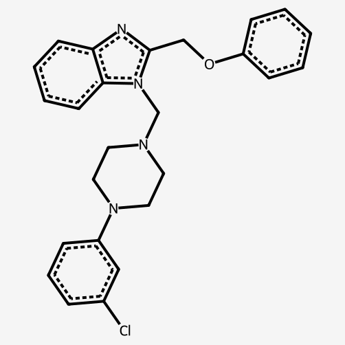 Clc1cccc(N2CCN(Cn3c(COc4ccccc4)nc4ccccc43)CC2)c1